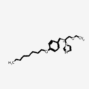 CCCCCCCCOc1ccc(C[C@@H](COCC)n2ccnc2)cc1